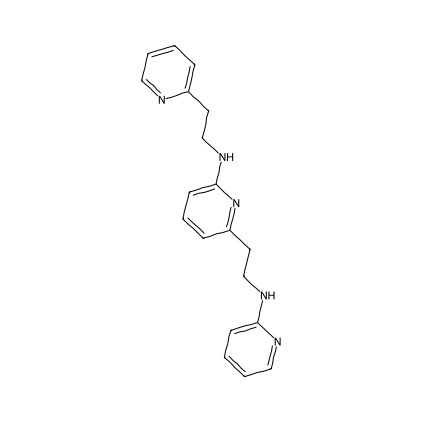 c1ccc(CCNc2cccc(CCNc3ccccn3)n2)nc1